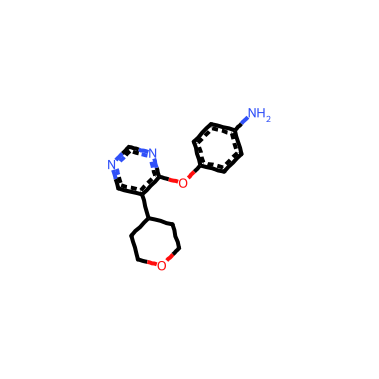 Nc1ccc(Oc2ncncc2C2CCOCC2)cc1